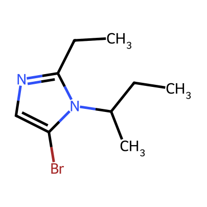 CCc1ncc(Br)n1C(C)CC